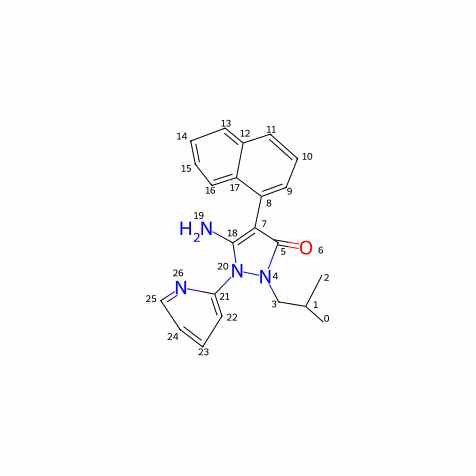 CC(C)Cn1c(=O)c(-c2cccc3ccccc23)c(N)n1-c1ccccn1